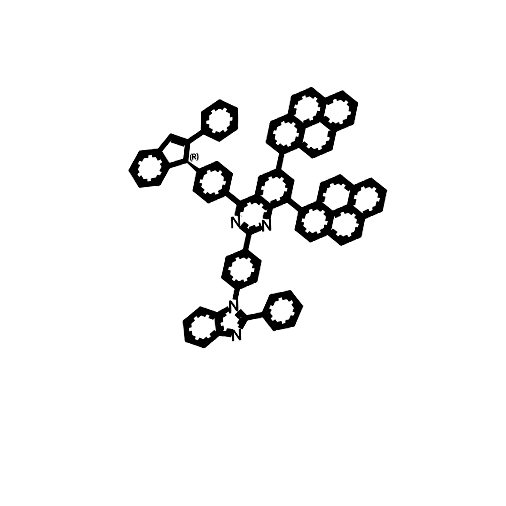 C1=C(c2ccccc2)[C@@H](c2ccc(-c3nc(-c4ccc(-n5c(-c6ccccc6)nc6ccccc65)cc4)nc4c(-c5ccc6ccc7cccc8ccc5c6c78)cc(-c5ccc6ccc7cccc8ccc5c6c78)cc34)cc2)c2ccccc21